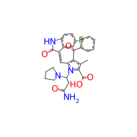 Cc1c(C(=O)c2ccccc2)c(C=C2C(=O)Nc3ccc(F)cc32)n(C(CC(N)=O)N2CCCC2)c1C(=O)O